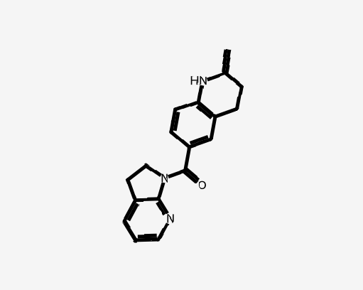 C=C1CCc2cc(C(=O)N3CCc4cccnc43)ccc2N1